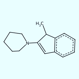 CC1C(N2CCCCC2)=Cc2ccccc21